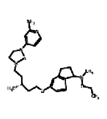 CCON(C)C1CCc2cc(OCC[C@H](C)CCN3CCN(c4ccnc(N)c4)S3)ccc21